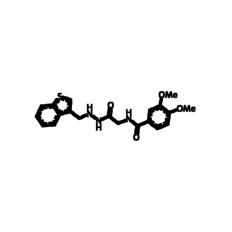 COc1ccc(C(=O)NCC(=O)NNCc2csc3ccccc23)cc1OC